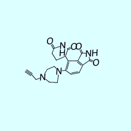 C#CCN1CCN(c2ccc3c(c2C2CCC(=O)NC2=O)C(=O)NC3=O)CC1